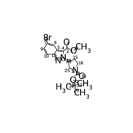 COC(=O)c1c2cc(Br)ccc2nn1[C@@H]1CCN(C(=O)OC(C)(C)C)C1